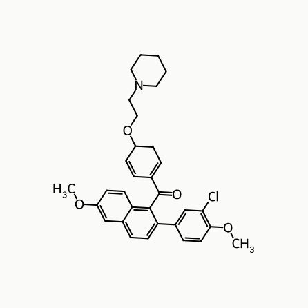 COc1ccc2c(C(=O)C3=CCC(OCCN4CCCCC4)C=C3)c(-c3ccc(OC)c(Cl)c3)ccc2c1